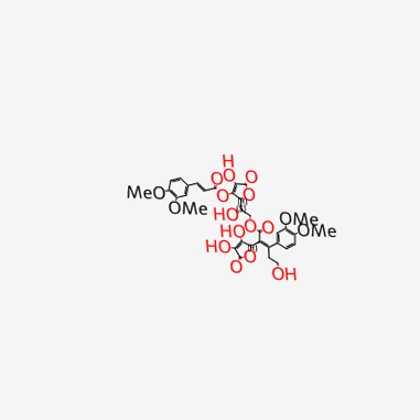 COc1ccc(C=CC(=O)OC2=C(O)C(=O)O[C@@H]2[C@@H](O)COC(=O)C(=C(CCO)c2ccc(OC)c(OC)c2)[C@H]2OC(=O)C(O)=C2O)cc1OC